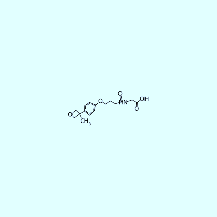 CC1(c2ccc(OCCCC(=O)NCC(=O)O)cc2)COC1